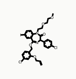 C=CCOc1cc(Cl)ccc1COC1=NC(c2ccc(Cl)cc2)C(=O)N(CCOCCOC)c2ccc(I)cc21